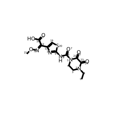 CCN1CCN(C(=O)Nc2nc(C(=NOC)C(=O)O)cs2)C(=O)C1=O